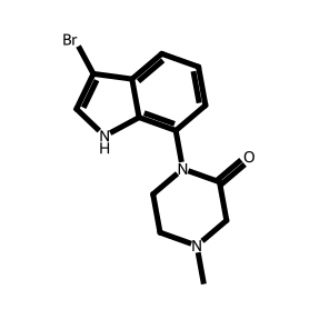 CN1CCN(c2cccc3c(Br)c[nH]c23)C(=O)C1